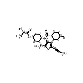 CC(C)[C@@H](N)C(=O)O[C@H]1CC[C@H](N(c2cc(C#CC(C)(C)C)sc2C(=O)O)C(=O)[C@H]2CC[C@H](C)CC2)CC1